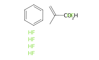 C=C(C)C(=O)O.F.F.F.F.F.c1ccccc1